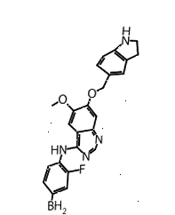 Bc1ccc(Nc2ncnc3cc(OCc4ccc5c(c4)CCN5)c(OC)cc23)c(F)c1